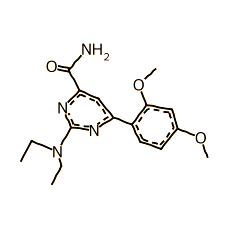 CCN(CC)c1nc(C(N)=O)cc(-c2ccc(OC)cc2OC)n1